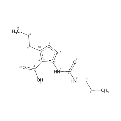 CCCNC(=O)Nc1scc(CCC)c1C(=O)O